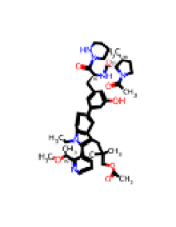 CCn1c(-c2cccnc2[C@H](C)OC)c(CC(C)(C)COC(C)=O)c2cc(-c3cc(O)cc(C[C@H](NC(=O)[C@@H]4[C@H](C)CCN4C(C)=O)C(=O)N4CCCCN4)c3)ccc21